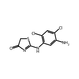 Nc1cc(NC2=NC(=O)CS2)c(Cl)cc1Cl